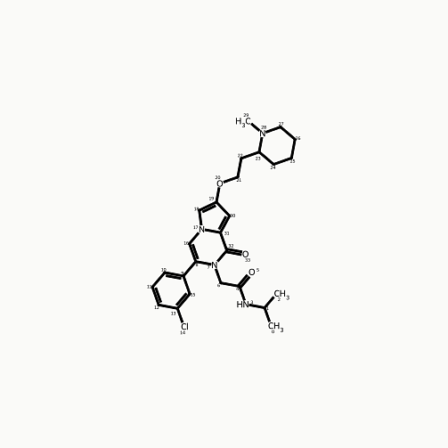 CC(C)NC(=O)Cn1c(-c2cccc(Cl)c2)cn2cc(OCCC3CCCCN3C)cc2c1=O